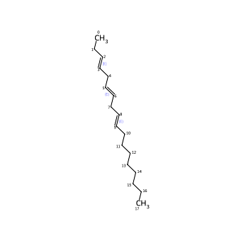 CC/C=C/C/C=C/C/C=C/CCCCCCCC